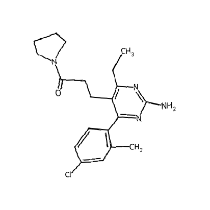 CCc1nc(N)nc(-c2ccc(Cl)cc2C)c1CCC(=O)N1CCCC1